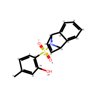 Cc1ccc(S(=O)(=O)N2C3C=CC2c2ccccc23)c(O)c1